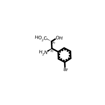 N[C@H](c1cccc(Br)c1)[C@@H](O)C(=O)O